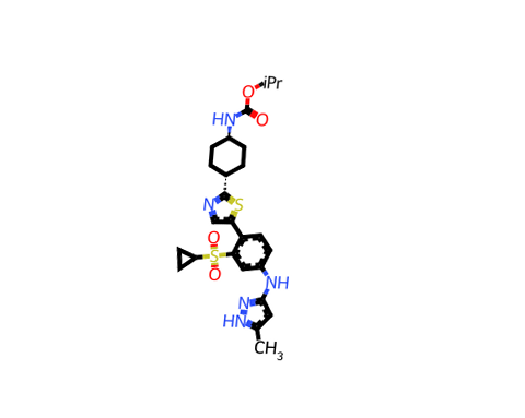 Cc1cc(Nc2ccc(-c3cnc([C@H]4CC[C@H](NC(=O)OC(C)C)CC4)s3)c(S(=O)(=O)C3CC3)c2)n[nH]1